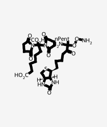 CCCCCC(N)(OON)C(=O)CCCC[C@@H]1SC[C@@H]2NC(=O)N[C@@H]21.O=C(O)CCCCCC(C(=O)O)(N1C(=O)CCC1=O)N1C(=O)CCC1=O